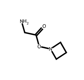 NCC(=O)ON1CCC1